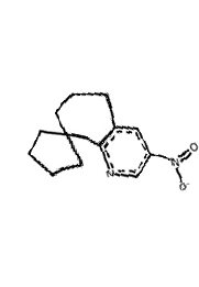 O=[N+]([O-])c1cnc2c(c1)CCCC21CCCC1